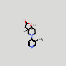 O=C1C[C@@H]2CN(c3ccncc3[N+](=O)[O-])CC[C@@H]2O1